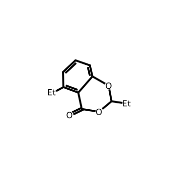 CCc1cccc2c1C(=O)OC(CC)O2